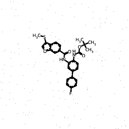 CSc1coc2cc(C(=O)Nc3cc(-c4ccc(F)cc4)ccc3NC(=O)OC(C)(C)C)ccc12